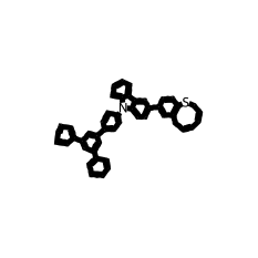 C1=C\CSc2ccc(-c3ccc4c(c3)c3ccccc3n4-c3ccc(-c4cc(-c5ccccc5)cc(-c5ccccc5)c4)cc3)cc2C\C=C/1